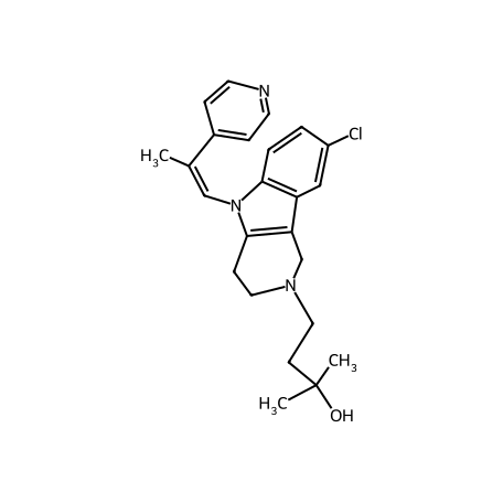 C/C(=C/n1c2c(c3cc(Cl)ccc31)CN(CCC(C)(C)O)CC2)c1ccncc1